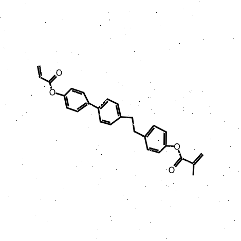 C=CC(=O)Oc1ccc(-c2ccc(CCc3ccc(OC(=O)C(=C)C)cc3)cc2)cc1